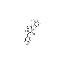 CN1C(=O)C(C)(Cc2ccc(F)cc2)N(C)C(=O)C1=Cc1ccccc1C#N